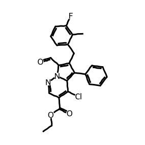 CCOC(=O)c1cnn2c(C=O)c(Cc3cccc(F)c3C)c(-c3ccccc3)c2c1Cl